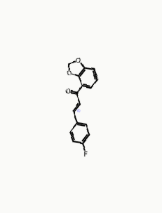 O=C(/C=C/c1ccc(F)cc1)c1cccc2c1OCO2